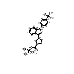 CC(C)(C)OC(=O)N1CCC(c2nn(-c3ccc(C(F)(F)F)cc3)c3ccccc23)C1